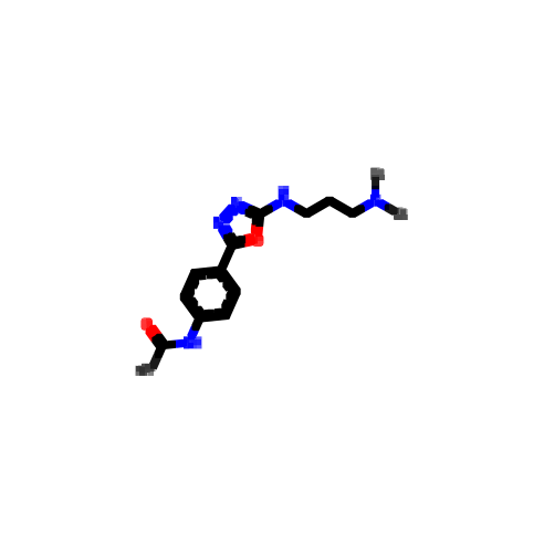 CCCC(=O)Nc1ccc(-c2nnc(NCCCN(CC)CC)o2)cc1